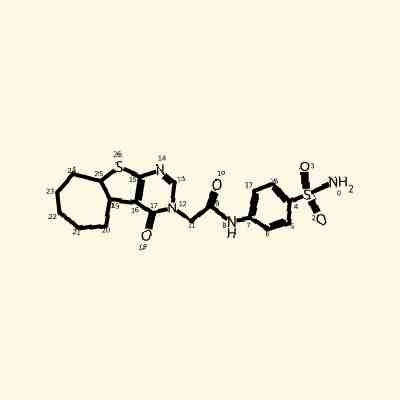 NS(=O)(=O)c1ccc(NC(=O)Cn2cnc3c(c2=O)C2CCCCCC2S3)cc1